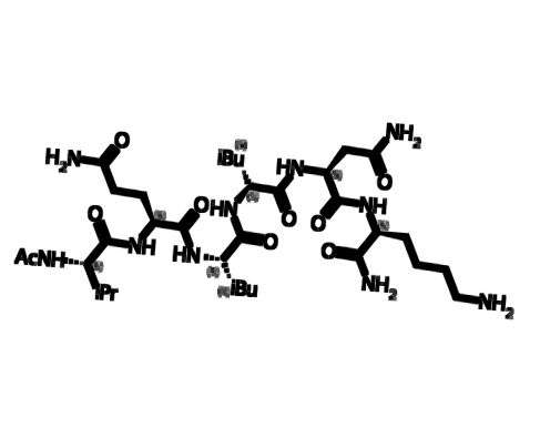 CC[C@@H](C)[C@H](NC(=O)[C@H](CCC(N)=O)NC(=O)[C@@H](NC(C)=O)C(C)C)C(=O)N[C@H](C(=O)N[C@@H](CC(N)=O)C(=O)N[C@@H](CCCCN)C(N)=O)[C@@H](C)CC